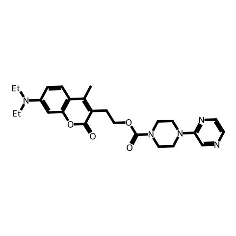 CCN(CC)c1ccc2c(C)c(CCOC(=O)N3CCN(c4cnccn4)CC3)c(=O)oc2c1